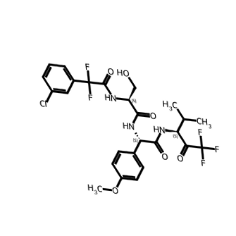 COc1ccc([C@H](NC(=O)[C@H](CO)NC(=O)C(F)(F)c2cccc(Cl)c2)C(=O)N[C@H](C(=O)C(F)(F)F)C(C)C)cc1